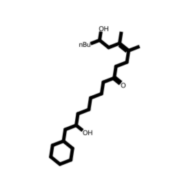 CCCCC(O)CC(C)=C(C)CCC(=O)CCCCCC(O)CC1CCCCC1